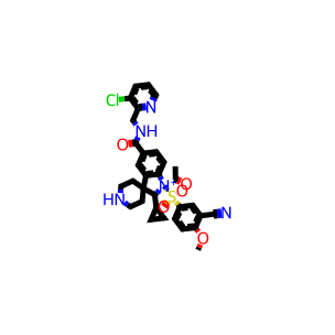 COc1ccc(S(=O)(=O)[N+]2(C(C)=O)c3ccc(C(=O)NCc4ncccc4Cl)cc3C3(CCNCC3)C2C2CC2)cc1C#N